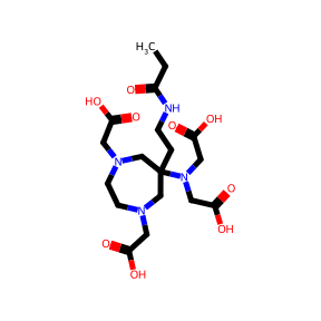 CCC(=O)NCCC1(N(CC(=O)O)CC(=O)O)CN(CC(=O)O)CCN(CC(=O)O)C1